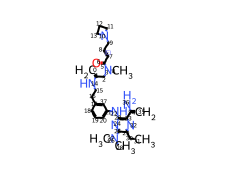 C=C(CN(C)C(=O)/C=C/CN1CCC1)NCCc1cccc(Nc2nc(N(C)C)c(CC)nc2C(=C)N)c1